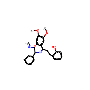 CNC(=O)C(NC(CCc1ccccc1O)c1ccc(OC)c(OC)c1)c1ccccc1